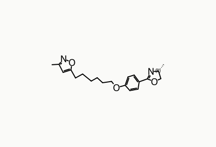 Cc1cc(CCCCCCOc2ccc(C3=N[C@H](C)CO3)cc2)on1